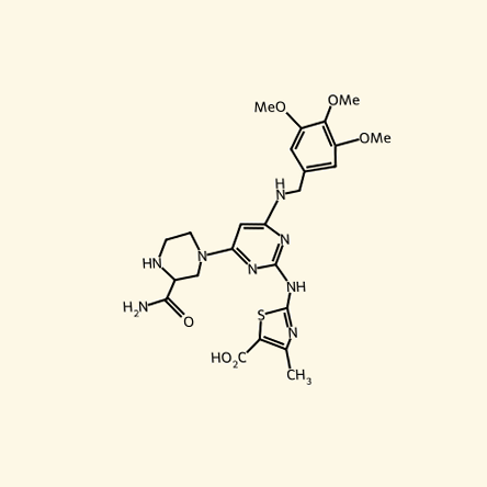 COc1cc(CNc2cc(N3CCNC(C(N)=O)C3)nc(Nc3nc(C)c(C(=O)O)s3)n2)cc(OC)c1OC